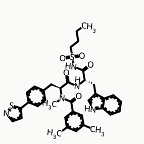 CCCCS(=O)(=O)NC(=O)[C@H](Cc1c[nH]c2ccccc12)NC(=O)[C@H](Cc1ccc(-c2ccns2)cc1)N(C)C(=O)c1cc(C)cc(C)c1